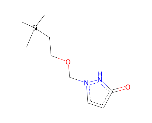 C[Si](C)(C)CCOCn1ccc(=O)[nH]1